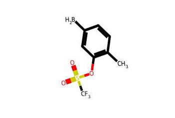 Bc1ccc(C)c(OS(=O)(=O)C(F)(F)F)c1